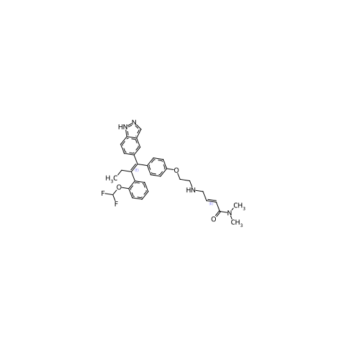 CC/C(=C(/c1ccc(OCCNC/C=C/C(=O)N(C)C)cc1)c1ccc2[nH]ncc2c1)c1ccccc1OC(F)F